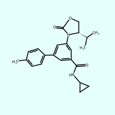 Cc1ccc(-c2cc(C(=O)NC3CC3)cc(N3C(=O)OC[C@@H]3C(C)C)c2)cc1